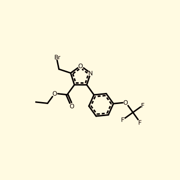 CCOC(=O)c1c(-c2cccc(OC(F)(F)F)c2)noc1CBr